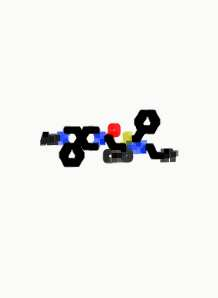 CC(=O)N1CCC2(CCN(C(=O)CC(C=O)SC(NCCC(C)C)c3ccccc3)CC2)c2ccccc21